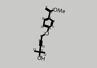 C=C(OC)c1ccc(OCC#CC(C)(C)O)cc1